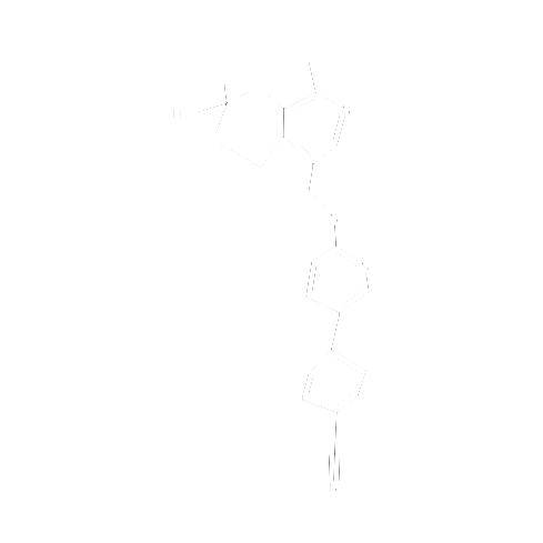 Cc1ncc(CNc2ccc(-c3ccc(C#N)cc3)cn2)c2c1OC(C)(C)OC2